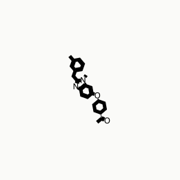 Cc1cccc(Cc2nc3ccc(O[C@H]4CC[C@@H](C(C)=O)CC4)cc3n2C)c1